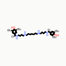 CCC(NCCCCNCCCCCCCNCCCCNC(CC)c1cc(C(C)(C)C)c(O)c(C(C)(C)C)c1)c1cc(C(C)(C)C)c(O)c(C(C)(C)C)c1